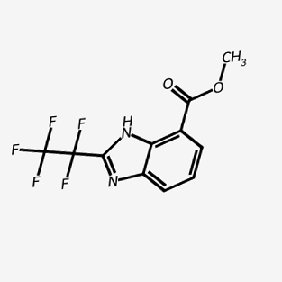 COC(=O)c1cccc2nc(C(F)(F)C(F)(F)F)[nH]c12